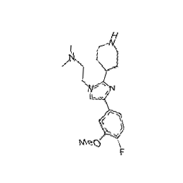 COc1cc(-c2cn(CCN(C)C)c(C3CCNCC3)n2)ccc1F